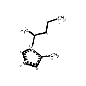 CCCC(C)n1cncc1C